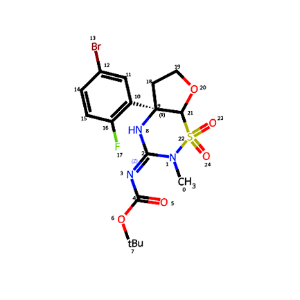 CN1/C(=N\C(=O)OC(C)(C)C)N[C@@]2(c3cc(Br)ccc3F)CCOC2S1(=O)=O